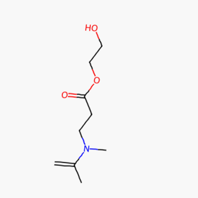 C=C(C)N(C)CCC(=O)OCCO